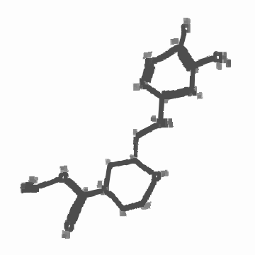 Cc1nc(NC[C@H]2CN(C(=O)OC(C)(C)C)CCO2)nnc1Cl